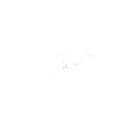 CCCCOC(=O)C(CC=O)NC(=O)C(CC(=O)c1ccccc1NC(C)=O)NC(=O)CCC